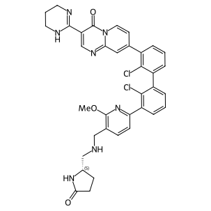 COc1nc(-c2cccc(-c3cccc(-c4ccn5c(=O)c(C6=NCCCN6)cnc5c4)c3Cl)c2Cl)ccc1CNC[C@@H]1CCC(=O)N1